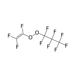 FC(F)=C(F)OOC(F)(F)C(F)(F)C(F)(F)F